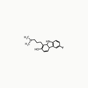 CN(C)CCCC1=C(O)C=CC2c3cc(F)ccc3NC12